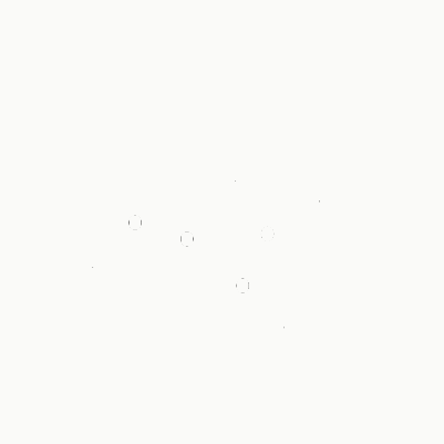 CC(C)(C)OOC1(OOC(C)(C)C)CCCCC1C(C)(C)C